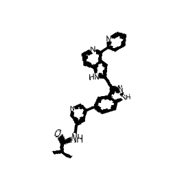 CC(C)C(=O)Nc1cncc(-c2ccc3[nH]nc(-c4cc5c(-c6ccccn6)nccc5[nH]4)c3c2)c1